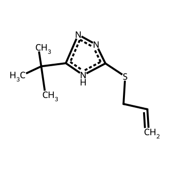 C=CCSc1nnc(C(C)(C)C)[nH]1